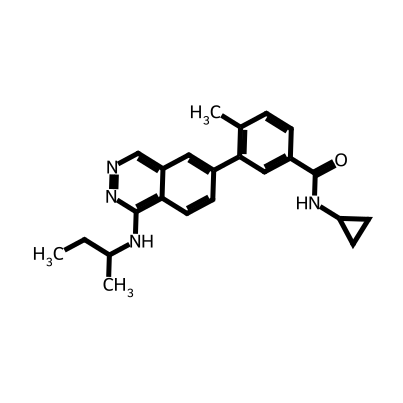 CCC(C)Nc1nncc2cc(-c3cc(C(=O)NC4CC4)ccc3C)ccc12